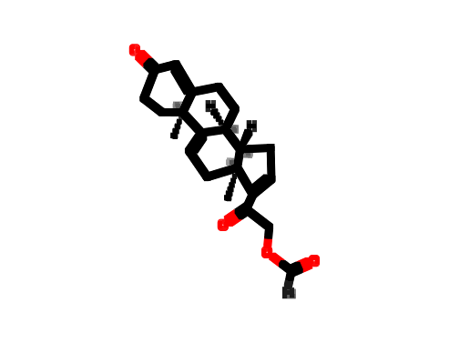 CCC(=O)OCC(=O)C1=CC[C@H]2[C@@H]3CCC4=CC(=O)CC[C@]4(C)C3=CC[C@]12C